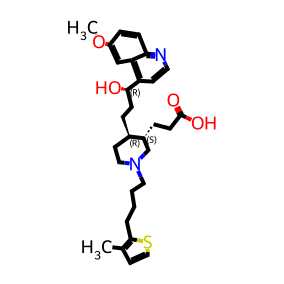 COc1ccc2nccc([C@H](O)CC[C@@H]3CCN(CCCCc4sccc4C)C[C@H]3CCC(=O)O)c2c1